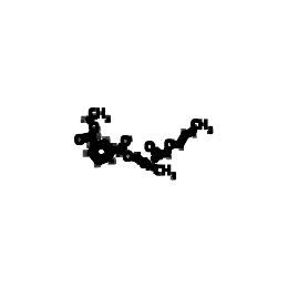 CCCCOCC(=O)N(C)CCOC(=O)c1cccc(C(=O)OCC)c1